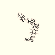 CC(C)(C)c1cnc(CSc2cnc(NS(=O)(=O)c3ccc(C=CC(=O)O)cc3)s2)o1